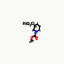 CCOC(=O)[C@@H]1CCCN(C(=O)OC(C)C)C1